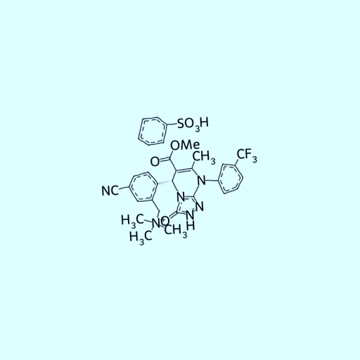 COC(=O)C1=C(C)N(c2cccc(C(F)(F)F)c2)c2n[nH]c(=O)n2[C@@H]1c1ccc(C#N)cc1C[N+](C)(C)C.O=S(=O)(O)c1ccccc1